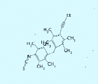 CCC#Cc1c(C)c(C)c(Cc2c(C)c(C)c(N=C=S)c(C)c2C)c(C)c1C